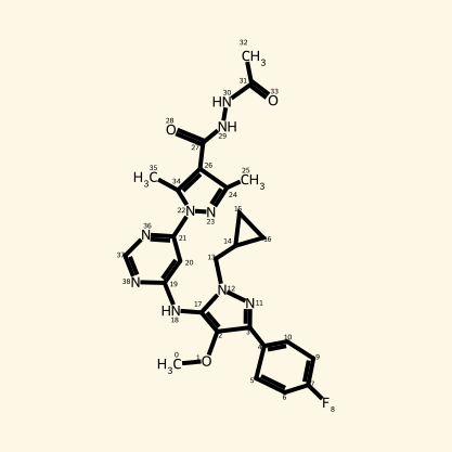 COc1c(-c2ccc(F)cc2)nn(CC2CC2)c1Nc1cc(-n2nc(C)c(C(=O)NNC(C)=O)c2C)ncn1